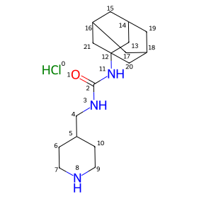 Cl.O=C(NCC1CCNCC1)NC12CC3CC(CC(C3)C1)C2